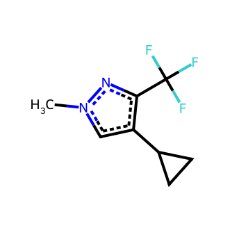 Cn1cc(C2CC2)c(C(F)(F)F)n1